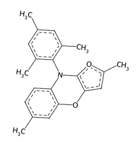 Cc1cc(C)c(N2c3ccc(C)cc3Oc3cc(C)oc32)c(C)c1